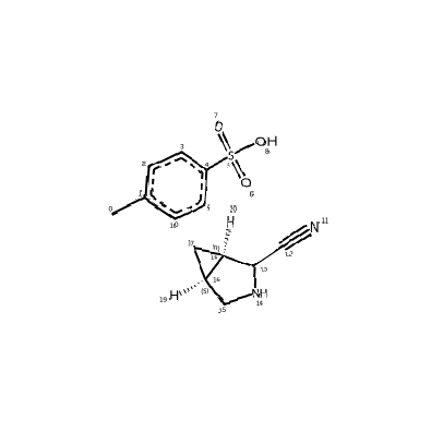 Cc1ccc(S(=O)(=O)O)cc1.N#CC1NC[C@H]2C[C@@H]12